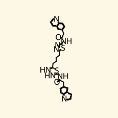 N=C(CCCCc1nnc(NC(=O)Cc2ccc3ncccc3c2)s1)SC(=N)NC(=O)Cc1ccc2ncccc2c1